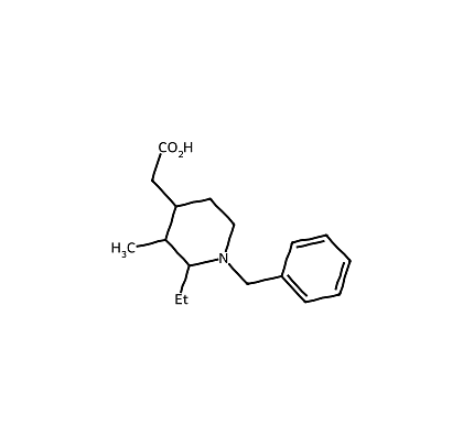 CCC1C(C)C(CC(=O)O)CCN1Cc1ccccc1